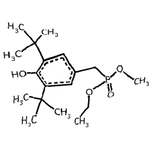 CCOP(=O)(Cc1cc(C(C)(C)C)c(O)c(C(C)(C)C)c1)OC